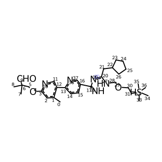 Cc1cc(OCC(C)(C)C=O)ncc1-c1ccc(C(=N)/N=C(/CC2CCCC2)NCOCC[SH](C)(C)(C)C)cn1